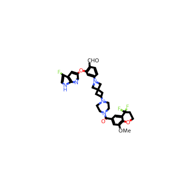 COc1cc(C(=O)N2CCN(C3CC4(C3)CN(c3ccc(C=O)c(Oc5cnc6[nH]cc(F)c6c5)c3)C4)CC2)cc2c1OCCC2(F)F